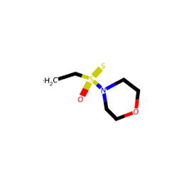 [CH2]CS(=O)(=S)N1CCOCC1